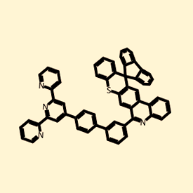 c1ccc(-c2cc(-c3ccc(-c4cccc(-c5nc6ccccc6c6cc7c(cc56)Sc5ccccc5C75c6ccccc6-c6ccccc65)c4)cc3)cc(-c3ccccn3)n2)nc1